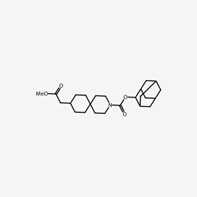 COC(=O)CC1CCC2(CC1)CCN(C(=O)OC1C3CC4CC(C3)CC1C4)CC2